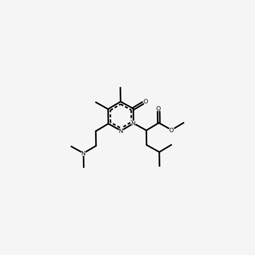 COC(=O)C(CC(C)C)n1nc(CCN(C)C)c(C)c(C)c1=O